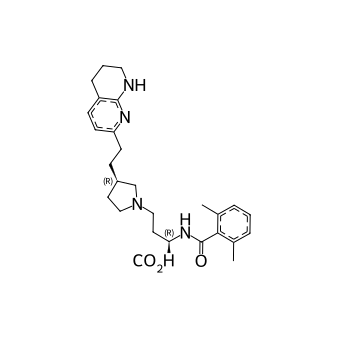 Cc1cccc(C)c1C(=O)N[C@H](CCN1CC[C@@H](CCc2ccc3c(n2)NCCC3)C1)C(=O)O